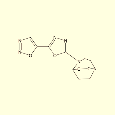 c1nnoc1-c1nnc(N2CCN3CCC2CC3)o1